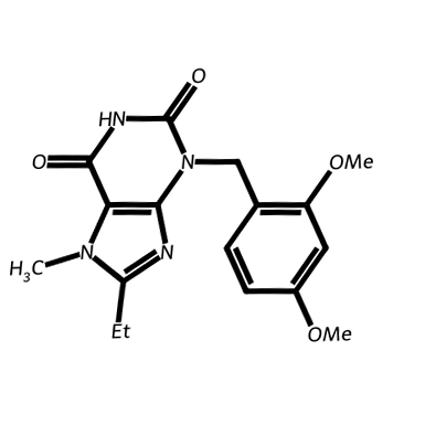 CCc1nc2c(c(=O)[nH]c(=O)n2Cc2ccc(OC)cc2OC)n1C